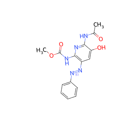 COC(=O)Nc1nc(NC(C)=O)c(O)cc1/N=N/c1ccccc1